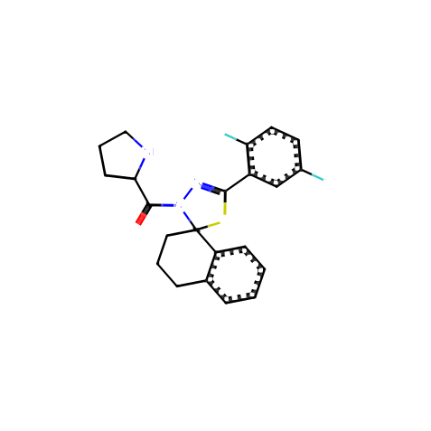 O=C(C1CCCN1)N1N=C(c2cc(F)ccc2F)SC12CCCc1ccccc12